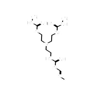 C/N=C/NC(=N)NCCN(CCNC(=N)NC#N)CCNC(=N)NC#N